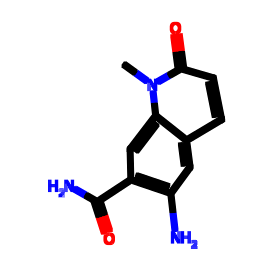 Cn1c(=O)ccc2cc(N)c(C(N)=O)cc21